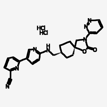 Cl.Cl.N#Cc1cccc(-c2ccc(NC[C@H]3CC[C@]4(CC3)CN(c3cccnn3)C(=O)O4)nc2)n1